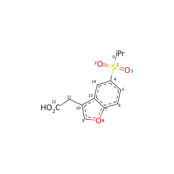 CC(C)S(=O)(=O)c1ccc2occ(CC(=O)O)c2c1